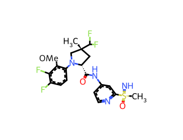 COc1c(N2C[C@](C)(C(F)F)C[C@@H]2C(=O)Nc2ccnc([S@](C)(=N)=O)c2)ccc(F)c1F